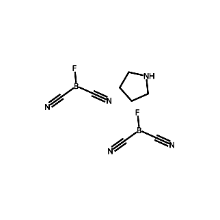 C1CCNC1.N#CB(F)C#N.N#CB(F)C#N